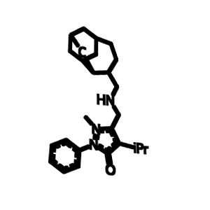 CC(C)c1c(CNCC2CCC3CC4CC(C3)C2C4)n(C)n(-c2ccccc2)c1=O